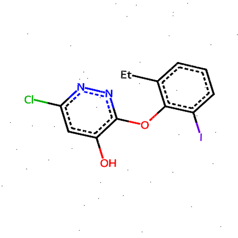 CCc1cccc(I)c1Oc1nnc(Cl)cc1O